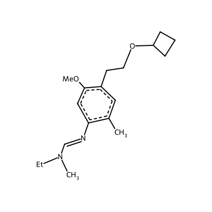 CCN(C)/C=N/c1cc(OC)c(CCOC2CCC2)cc1C